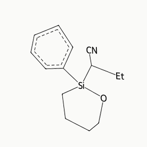 CCC(C#N)[Si]1(c2ccccc2)CCCCO1